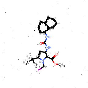 COC(=O)C1C(NC(=O)Nc2cccc3ccccc23)C=C(C(C)(C)C)N1CI